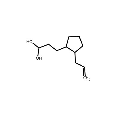 C=CCC1CCCC1CCC(O)O